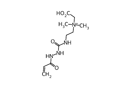 C=CC(=O)NNC(=O)NCC[N+](C)(C)CC(=O)O